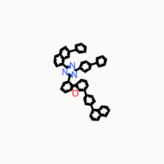 c1ccc(-c2ccc(-c3nc(-c4cccc5ccc(-c6ccccc6)cc45)nc(-c4cccc5oc6c(-c7ccc(-c8cccc9ccccc89)cc7)cccc6c45)n3)cc2)cc1